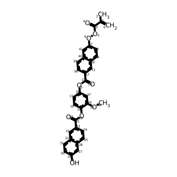 C=C(C)C(=O)OOc1ccc2cc(C(=O)Oc3ccc(OC(=O)c4ccc5cc(O)ccc5c4)c(OC)c3)ccc2c1